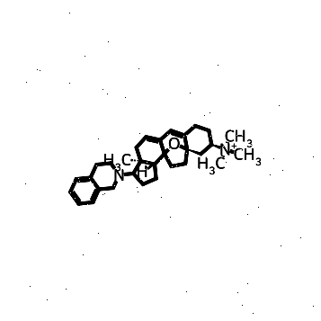 C[C@]12CC=C3C=C4CC[C@@H]([N+](C)(C)C)C[C@]45CCC3(O5)[C@@H]1CCC2N1CCc2ccccc2C1